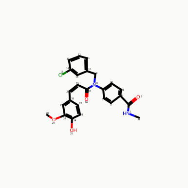 CNC(=O)c1ccc(N(Cc2cccc(Cl)c2)C(=O)C=Cc2ccc(O)c(OC)c2)cc1